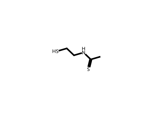 CC(=S)NCCS